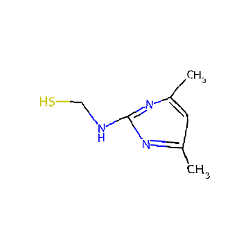 Cc1cc(C)nc(NCS)n1